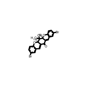 CC1(C)[C@@H]2Oc3ccc(Br)cc3C=C2C(=O)C2=Cc3cc(Br)ccc3O[C@@H]21